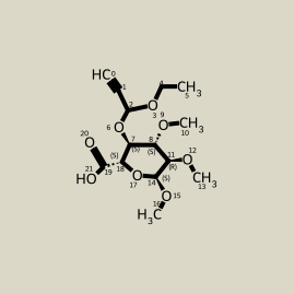 C#CC(OCC)O[C@H]1[C@H](OC)[C@@H](OC)[C@@H](OC)O[C@@H]1C(=O)O